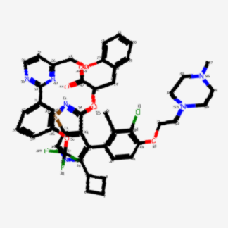 Cc1c(-c2c(C3CCC3)ncc3snc(OC(Cc4ccccc4OCc4ccnc(-c5cccc(OC(F)(F)F)c5)n4)C(=O)O)c23)ccc(OCCN2CCN(C)CC2)c1Cl